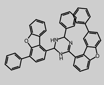 c1ccc(-c2ccc3oc4cccc(C5=NC(c6ccccc6)NC(c6ccc(-c7ccccc7)c7oc8ccccc8c67)N5)c4c3c2)cc1